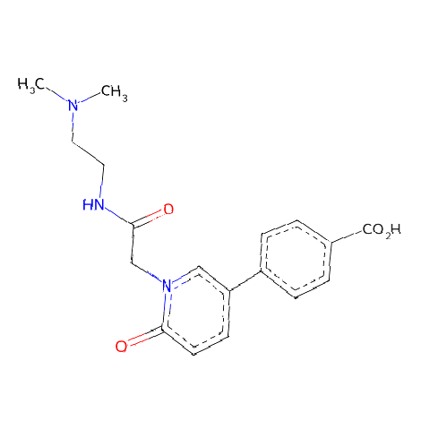 CN(C)CCNC(=O)Cn1cc(-c2ccc(C(=O)O)cc2)ccc1=O